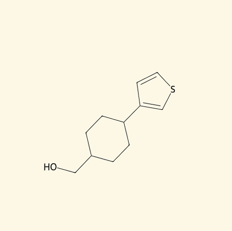 OCC1CCC(c2ccsc2)CC1